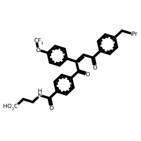 CC(C)Cc1ccc(C(=O)/C=C(\C(=O)c2ccc(C(=O)NCCC(=O)O)cc2)c2ccc(OC(F)(F)F)cc2)cc1